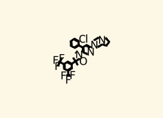 CN(C(=O)C(C)(C)c1cc(C(F)(F)F)cc(C(F)(F)F)c1)c1cnc(N2CCN3CCCC3C2)cc1-c1ccccc1Cl